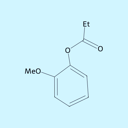 CCC(=O)Oc1ccccc1OC